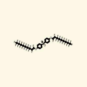 O=S(=O)(c1ccc(OC(F)=C(F)C(F)(F)C(F)(F)C(F)(F)C(F)(F)C(F)(F)C(F)(F)C(F)(F)F)cc1)c1ccc(OC(F)=C(F)C(F)(F)C(F)(F)C(F)(F)C(F)(F)C(F)(F)C(F)(F)C(F)(F)F)cc1